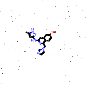 COc1ccc2c(Cn3ccnc3)nc(Nc3cc(C)[nH]n3)cc2c1